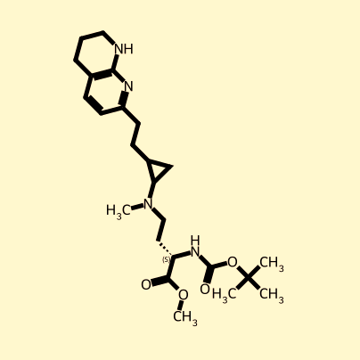 COC(=O)[C@H](CCN(C)C1CC1CCc1ccc2c(n1)NCCC2)NC(=O)OC(C)(C)C